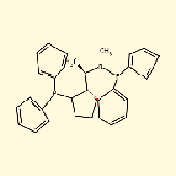 C[C@H]([C@@H]1CCCC1P(c1ccccc1)c1ccccc1)N(C)P(c1ccccc1)c1ccccc1